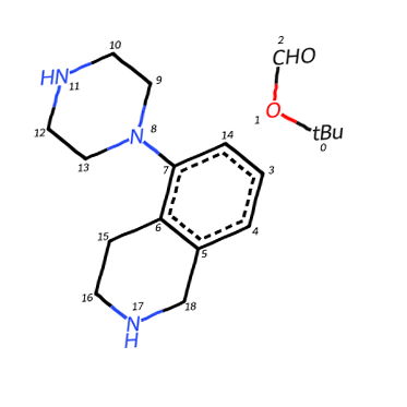 CC(C)(C)OC=O.c1cc2c(c(N3CCNCC3)c1)CCNC2